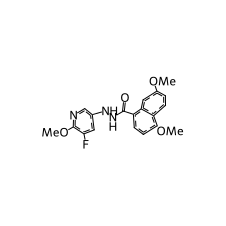 COc1ccc2c(OC)ccc(C(=O)NNc3cnc(OC)c(F)c3)c2c1